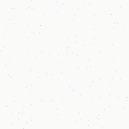 O=C(c1cccc(-c2cn3ccccc3n2)c1)N1CCC2(CCNCC2)CC1